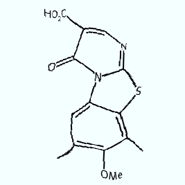 COc1c(C)cc2c(sc3ncc(C(=O)O)c(=O)n32)c1C